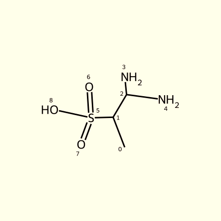 CC(C(N)N)S(=O)(=O)O